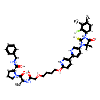 CC(C)(C)[C@H](NC(=O)COCCCCOc1ccc(-c2ccc(N3C(=S)N(c4ccc(C#N)c(C(F)(F)F)c4F)C(=O)C3(C)C)cn2)cn1)C(=O)N1CCC[C@H]1C(=O)NCc1ccccc1